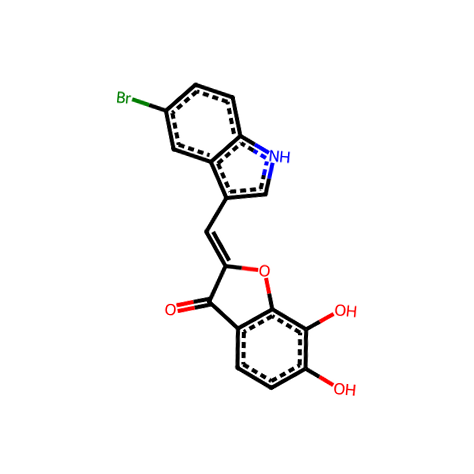 O=C1/C(=C/c2c[nH]c3ccc(Br)cc23)Oc2c1ccc(O)c2O